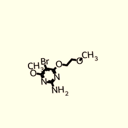 COCCOc1nc(N)nc(OC)c1Br